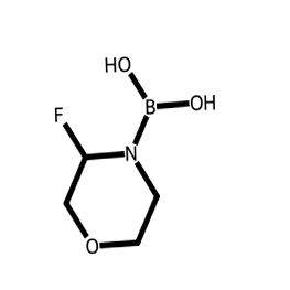 OB(O)N1CCOCC1F